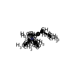 C[n+]1cc(-c2ccc(OCC(O/N=C(\C(=O)NC3C(=O)N(OS(=O)(=O)[O-])C3(C)C)c3nc(NC(=O)OC(C)(C)C)sc3Cl)C(=O)OC(C)(C)C)cc2)cn1CCCNC(=O)OC(C)(C)C